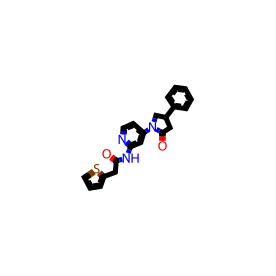 O=C(Cc1cccs1)Nc1cc(N2CC(c3ccccc3)CC2=O)ccn1